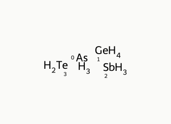 [AsH3].[GeH4].[SbH3].[TeH2]